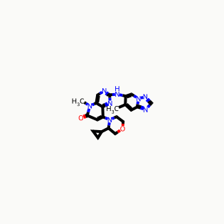 Cc1cc2ncnn2cc1Nc1ncc2c(n1)c(N1CCOCC1C1CC1)cc(=O)n2C